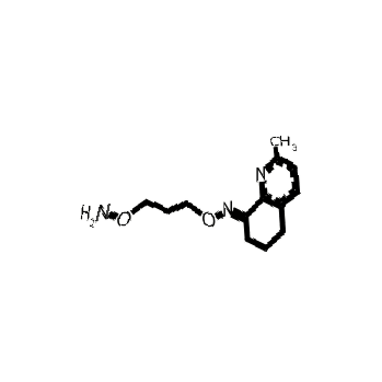 Cc1ccc2c(n1)C(=NOCCCON)CCC2